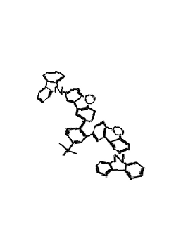 CC(C)(C)c1ccc(-c2ccc3oc4ccc(-n5c6ccccc6c6ccccc65)cc4c3c2)c(-c2ccc3oc4ccc(-n5c6ccccc6c6ccccc65)cc4c3c2)c1